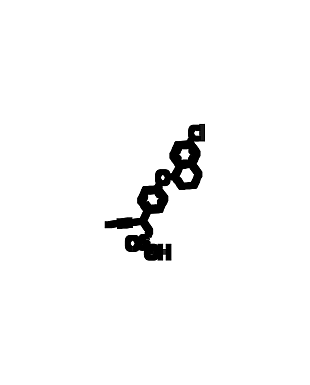 CC#CC(CS(=O)O)c1ccc(OC2CCCc3cc(Cl)ccc32)cc1